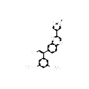 COc1cc(OC)cc(C(=CC(C)=O)c2ccc3ncc(-c4cnn(C)c4)nc3c2)c1